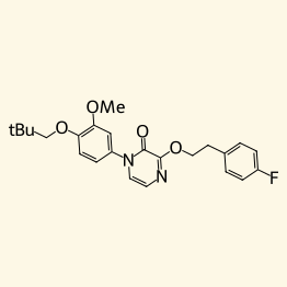 COc1cc(-n2ccnc(OCCc3ccc(F)cc3)c2=O)ccc1OCC(C)(C)C